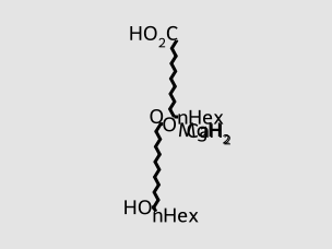 CCCCCCC(O)CCCCCCCCCCC(=O)OC(CCCCCC)CCCCCCCCCCC(=O)O.[CaH2].[MgH2]